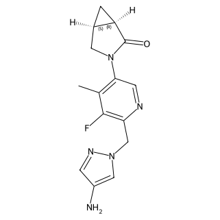 Cc1c(N2C[C@H]3C[C@H]3C2=O)cnc(Cn2cc(N)cn2)c1F